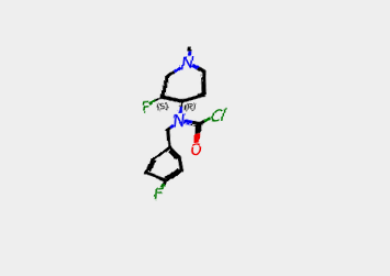 CN1CC[C@@H](N(Cc2ccc(F)cc2)C(=O)Cl)[C@@H](F)C1